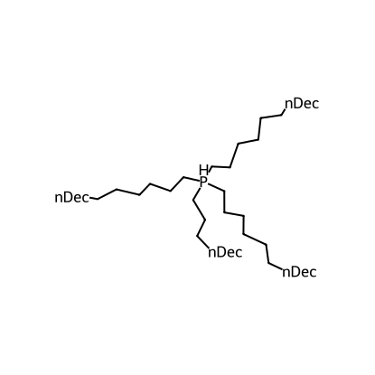 CCCCCCCCCCCCCCCC[PH](CCCCCCCCCCCCC)(CCCCCCCCCCCCCCCC)CCCCCCCCCCCCCCCC